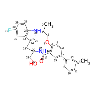 CCCOc1ccc(-c2cccc(C)c2)cc1C(=O)NC(CO)Cc1c[nH]c2ccc(F)cc12